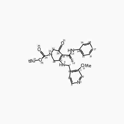 COc1cnccc1CNC1=C(C(=S)Nc2ccccc2)C(=O)CN(C(=O)OC(C)(C)C)C1